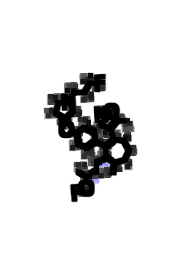 C=C1CCCC(c2cnoc2C)=C(c2ccc(O[C@H]3CCN(CCCF)C3)cc2)/C1=C/C=C(\C)OF